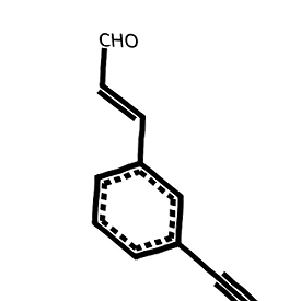 C#Cc1cccc(/C=C/C=O)c1